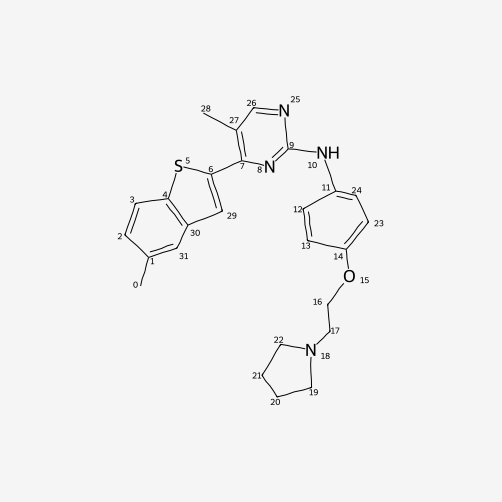 Cc1ccc2sc(-c3nc(Nc4ccc(OCCN5CCCC5)cc4)ncc3C)cc2c1